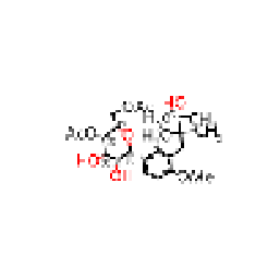 COc1ccc([C@H]2O[C@H](COC(C)=O)[C@@H](OC(C)=O)[C@H](O)[C@@H]2O)cc1CC(C)(C)[Si](C)(C)O